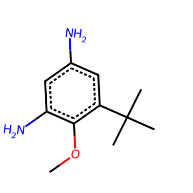 COc1c(N)cc(N)cc1C(C)(C)C